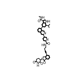 CNC(=O)c1c[nH]c2c(C(C)C)cc(-c3cccc4cc(-c5ccc(C(=O)NCCC#Cc6cccc7c6CN(C6CCC(=O)NC6=O)C7=O)nc5)ncc34)cc12